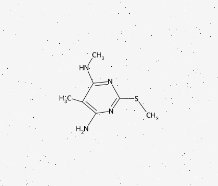 CNc1nc(SC)nc(N)c1C